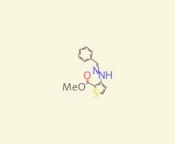 COC(=O)c1sccc1NN=Cc1ccccc1